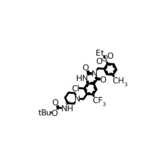 CCS(=O)(=O)c1ccc(C)cc1Cn1c(=O)[nH]c2c(Cl)c(CN3CCC[C@@H](NC(=O)OC(C)(C)C)C3)c(C(F)(F)F)cc2c1=O